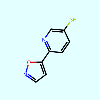 Sc1ccc(-c2ccno2)nc1